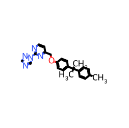 Cc1ccc(C(C)(C)c2ccc(OCc3ccnc(-n4cncn4)n3)cc2)cc1